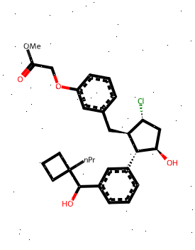 CCCC1(C(O)c2cccc([C@@H]3[C@@H](Cc4cccc(OCC(=O)OC)c4)[C@H](Cl)C[C@H]3O)c2)CCC1